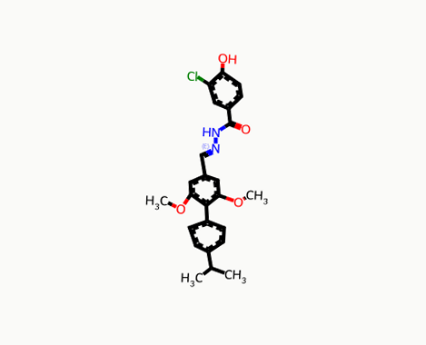 COc1cc(/C=N/NC(=O)c2ccc(O)c(Cl)c2)cc(OC)c1-c1ccc(C(C)C)cc1